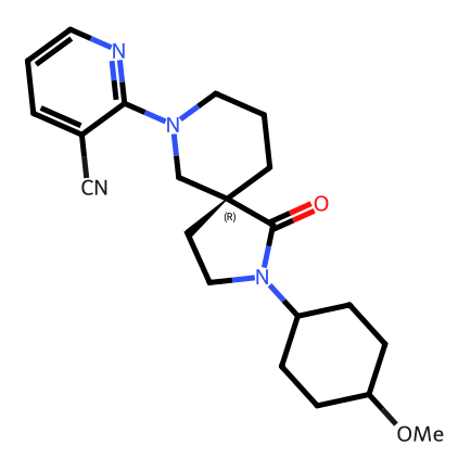 COC1CCC(N2CC[C@@]3(CCCN(c4ncccc4C#N)C3)C2=O)CC1